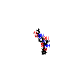 COC(=O)C(CC(C)C)NC(=O)N1CCCC(NC(=O)[C@H](CC(C)C)NC(=O)c2cc3ccccc3o2)[C@H](O)C1